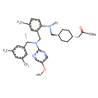 CCCOc1cnc(N(Cc2cc(C(F)(F)F)ccc2N(CC)C[C@H]2CC[C@H](CC(=O)OC)CC2)[C@@H](C)c2cc(C(F)(F)F)cc(C(F)(F)F)c2)nc1